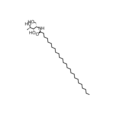 CCCCCCCCCCCCCCCCCCCCCCCCCC(=O)N[C@@H](CO)[C@H](O)[C@@H](C)O